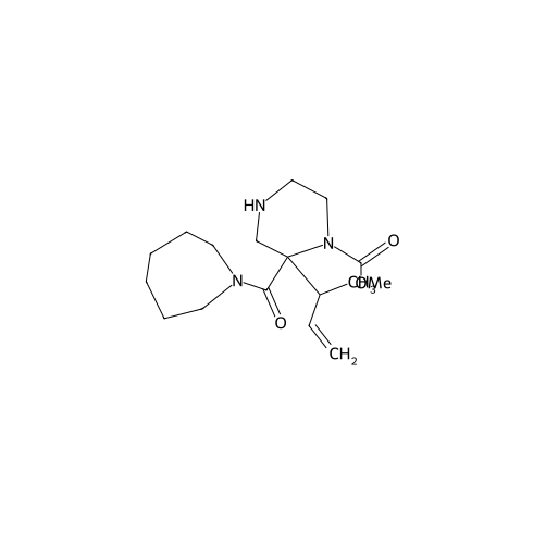 C=CC(C)C1(C(=O)N2CCCCCC2)CNCCN1C(=O)OC